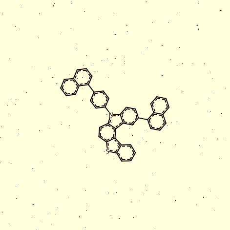 c1ccc2c(-c3ccc(-n4c5ccc(-c6cccc7ccccc67)cc5c5c6c(ccc54)sc4ccccc46)cc3)cccc2c1